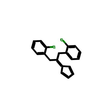 Clc1ccccc1CC(Cc1ccccc1Cl)=C1C=CC=C1